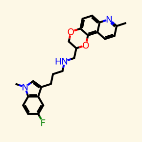 Cc1ccc2c3c(ccc2n1)OCC(CNCCCc1cn(C)c2ccc(F)cc12)O3